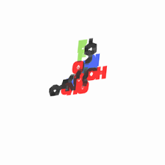 CO[C@@H]1[C@@H](n2cc(-c3ccc(C)c(F)c3F)nn2)[C@@H](O)[C@@H](CO)O[C@@H]1Cc1cc(C2CCCC2)on1